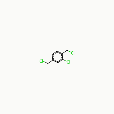 ClCc1ccc(CCl)c(Cl)c1